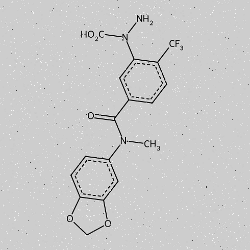 CN(C(=O)c1ccc(C(F)(F)F)c(N(N)C(=O)O)c1)c1ccc2c(c1)OCO2